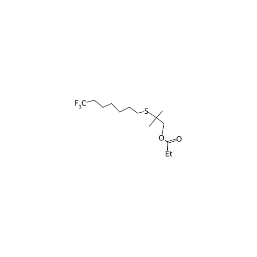 CCC(=O)OCC(C)(C)SCCCCCCC(F)(F)F